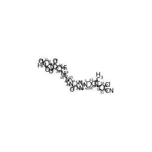 C[C@H]1CC2(CCN(c3ncc(C(=O)N4CCN(C5CN(c6cc7c(cc6F)C(=O)N(C6CCC(=O)NC6=O)C7=O)C5)CC4)cn3)CC2)CN1c1ccc(C#N)c(Cl)c1